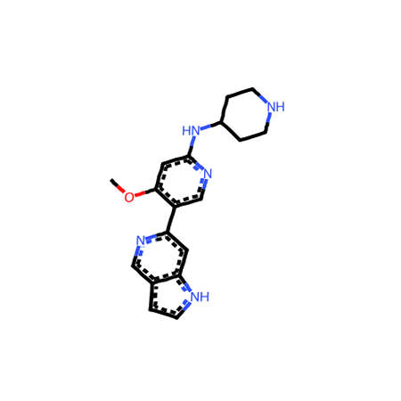 COc1cc(NC2CCNCC2)ncc1-c1cc2[nH]ccc2cn1